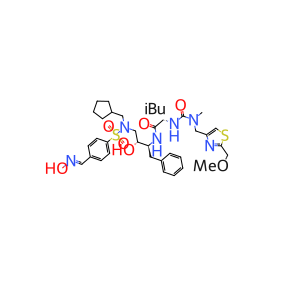 CC[C@H](C)[C@H](NC(=O)N(C)Cc1csc(COC)n1)C(=O)N[C@@H](Cc1ccccc1)[C@H](O)CN(CC1CCCC1)S(=O)(=O)c1ccc(C=NO)cc1